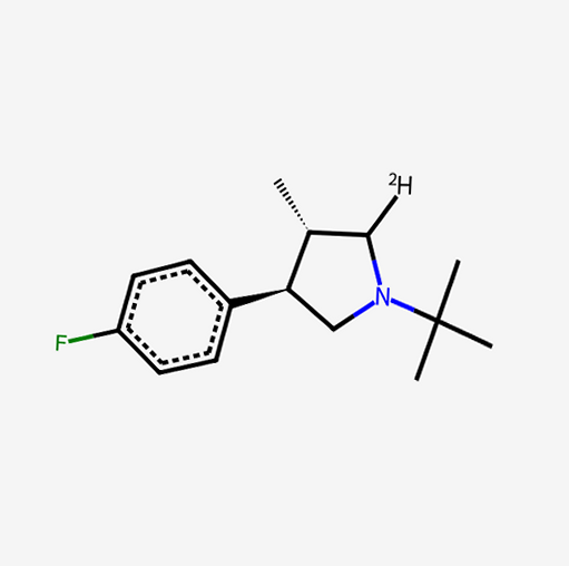 [2H]C1[C@@H](C)[C@H](c2ccc(F)cc2)CN1C(C)(C)C